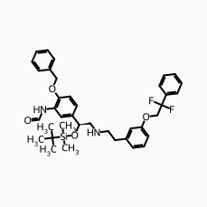 CC(C)(C)[Si](C)(C)O[C@H](CNCCc1cccc(OCC(F)(F)c2ccccc2)c1)c1ccc(OCc2ccccc2)c(NC=O)c1